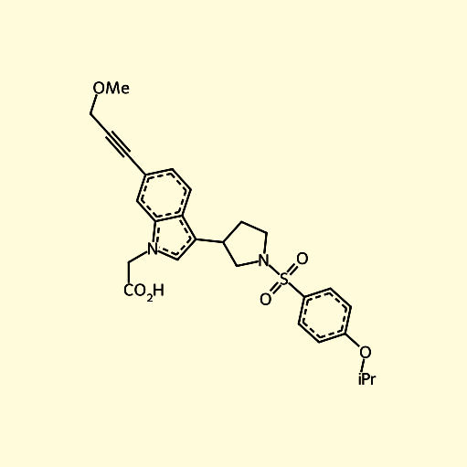 COCC#Cc1ccc2c(C3CCN(S(=O)(=O)c4ccc(OC(C)C)cc4)C3)cn(CC(=O)O)c2c1